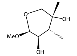 CO[C@H]1OC[C@](C)(O)[C@H](C)[C@H]1O